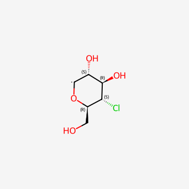 OC[C@H]1O[CH][C@H](O)[C@@H](O)[C@@H]1Cl